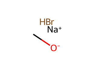 Br.C[O-].[Na+]